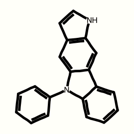 c1ccc(-n2c3ccccc3c3cc4[nH]ccc4cc32)cc1